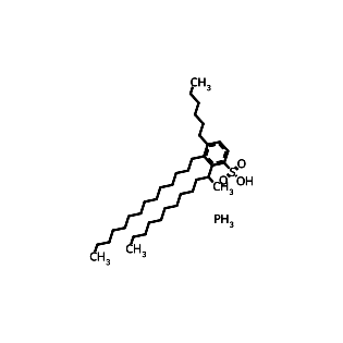 CCCCCCCCCCCCCCc1c(CCCCCC)ccc(S(=O)(=O)O)c1C(C)CCCCCCCCCC.P